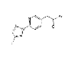 CC(=O)C(=O)Cc1ccc(-n2cc(F)cn2)nc1